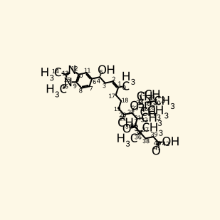 C/C(=C/C[C@H](O)c1ccc2c(c1)nc(C)n2C)CCC[C@H](C)[C@H](O[Si](C)(C)C(C)(C)C)[C@@H](C)C(=O)C(C)(C)CCC(=O)O